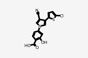 N#Cc1cn(-c2ccc(C(=O)O)c(O)c2)cc1-c1ccc(Cl)s1